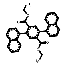 CCOC(=O)c1cc(-c2cccc3ccccc23)c(C(=O)OCC)cc1-c1cccc2ccccc12